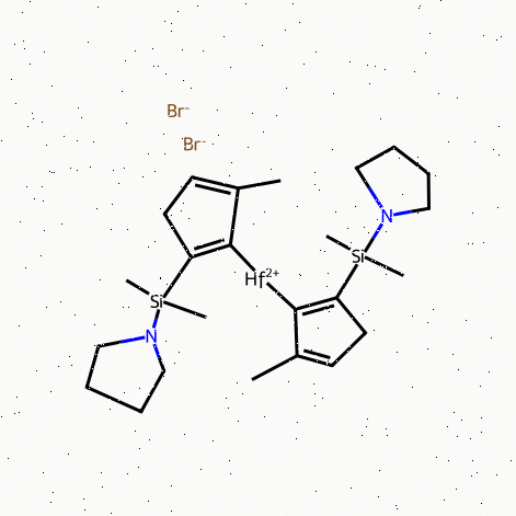 CC1=CCC([Si](C)(C)N2CCCC2)=[C]1[Hf+2][C]1=C([Si](C)(C)N2CCCC2)CC=C1C.[Br-].[Br-]